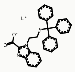 O=C([O-])c1nc2ccccc2n1CCSC(c1ccccc1)(c1ccccc1)c1ccccc1.[Li+]